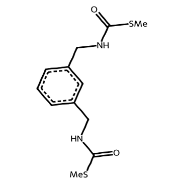 CSC(=O)NCc1cccc(CNC(=O)SC)c1